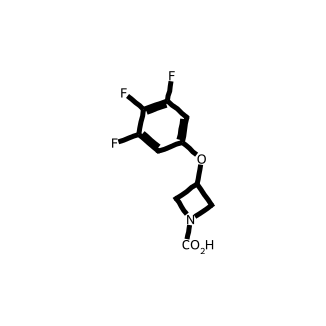 O=C(O)N1CC(Oc2cc(F)c(F)c(F)c2)C1